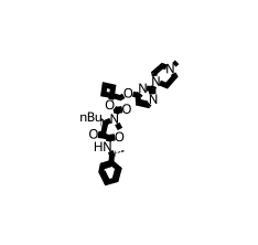 CCCC[C@@H](C(=O)C(=O)N[C@H](C)c1ccccc1)N(C)C(=O)OC1(COc2ccnc(N3CCN(C)CC3)n2)CCC1